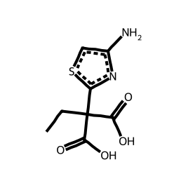 CCC(C(=O)O)(C(=O)O)c1nc(N)cs1